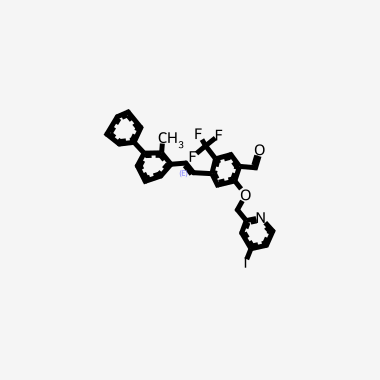 Cc1c(/C=C/c2cc(OCc3cc(I)ccn3)c(C=O)cc2C(F)(F)F)cccc1-c1ccccc1